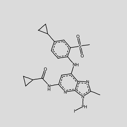 Cc1nc2c(Nc3ccc(C4CC4)cc3S(C)(=O)=O)cc(NC(=O)C3CC3)nc2n1PI